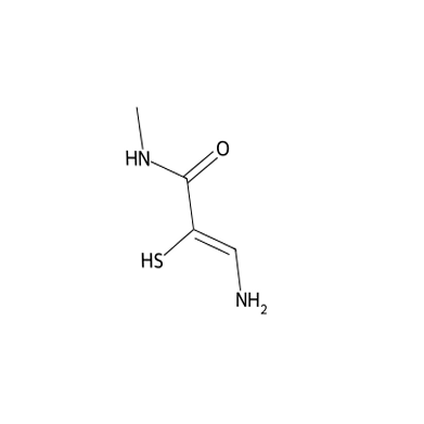 CNC(=O)/C(S)=C/N